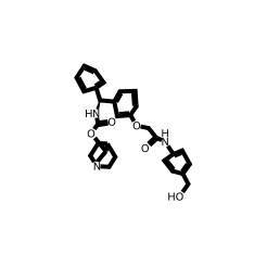 O=C(COc1cccc([C@@H](NC(=O)OC2CN3CCC2CC3)c2ccccc2)c1)Nc1ccc(CO)cc1